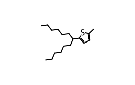 CCCCCCC(CCCCCC)c1ccc(C)s1